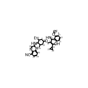 CCC1CC(OC/C(C(=N)c2ccccc2OC(F)(F)F)=C(/O)C2CC2)CC(C)C1Nc1cnc2c(C#N)cccc2n1